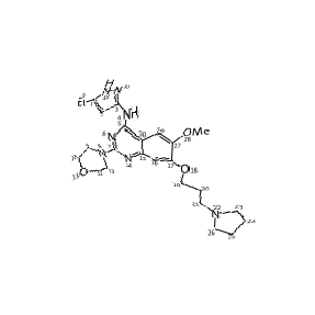 CCc1cc(Nc2nc(N3CCOCC3)nc3cc(OCCCN4CCCC4)c(OC)cc23)n[nH]1